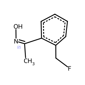 C/C(=N/O)c1ccccc1CF